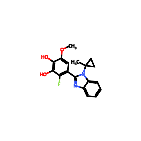 COc1cc(-c2nc3ccccc3n2C2(C)CC2)c(F)c(O)c1O